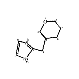 c1c[nH]c(CC2CCCOC2)n1